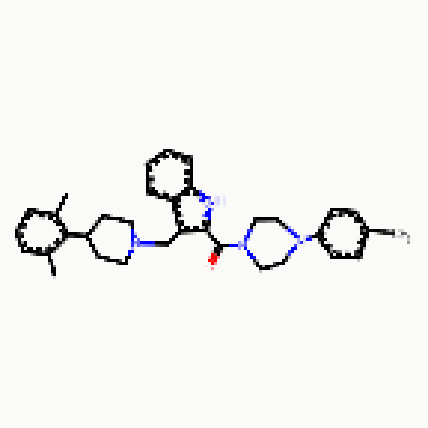 Cc1cccc(C)c1C1CCN(Cc2c(C(=O)N3CCN(c4ccc(C(F)(F)F)cc4)CC3)[nH]c3ccccc23)CC1